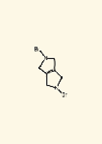 BrN1CC2=C(C1)CN(Br)C2